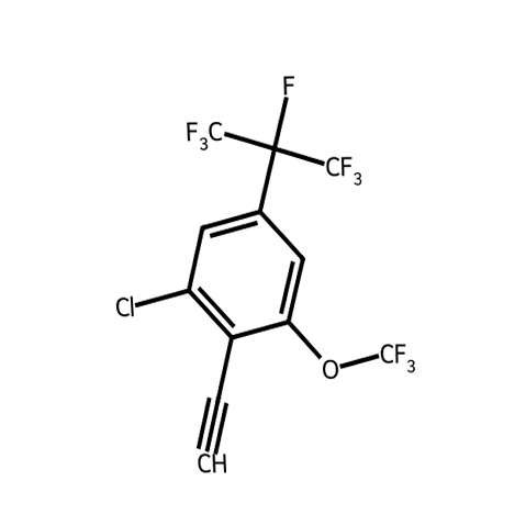 C#Cc1c(Cl)cc(C(F)(C(F)(F)F)C(F)(F)F)cc1OC(F)(F)F